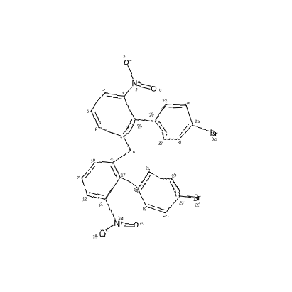 O=[N+]([O-])c1cccc(Cc2cccc([N+](=O)[O-])c2-c2ccc(Br)cc2)c1-c1ccc(Br)cc1